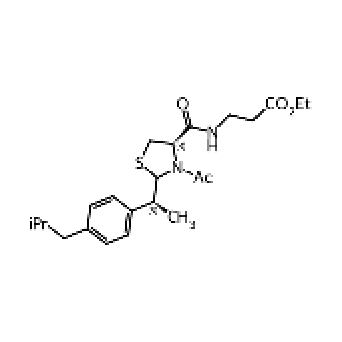 CCOC(=O)CCNC(=O)[C@@H]1CSC([C@@H](C)c2ccc(CC(C)C)cc2)N1C(C)=O